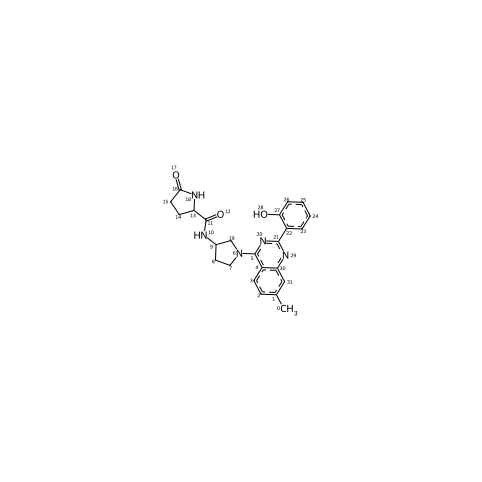 Cc1ccc2c(N3CCC(NC(=O)C4CCC(=O)N4)C3)nc(-c3ccccc3O)nc2c1